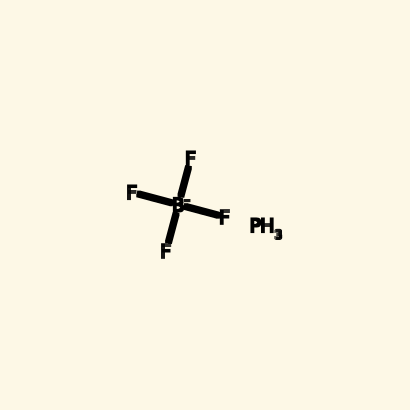 F[B-](F)(F)F.P